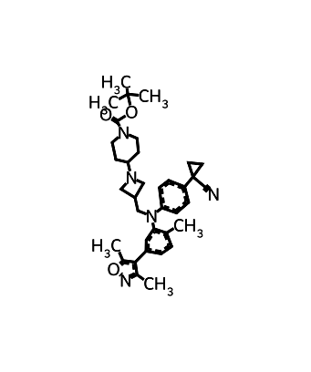 Cc1ccc(-c2c(C)noc2C)cc1N(CC1CN(C2CCN(C(=O)OC(C)(C)C)CC2)C1)c1ccc(C2(C#N)CC2)cc1